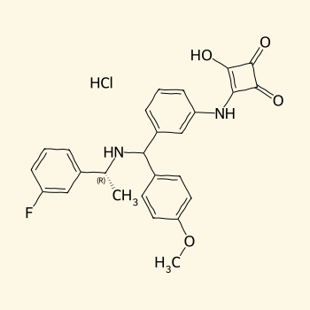 COc1ccc(C(N[C@H](C)c2cccc(F)c2)c2cccc(Nc3c(O)c(=O)c3=O)c2)cc1.Cl